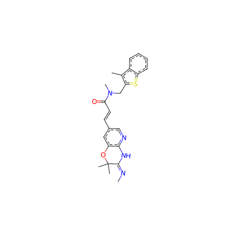 C/N=C1/Nc2ncc(/C=C/C(=O)N(C)Cc3sc4ccccc4c3C)cc2OC1(C)C